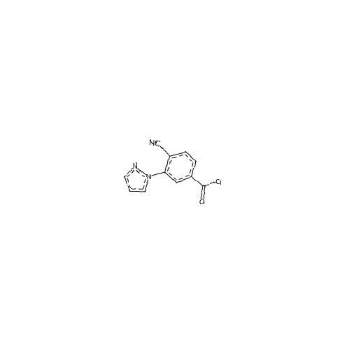 N#Cc1ccc(C(=O)Cl)cc1-n1cccn1